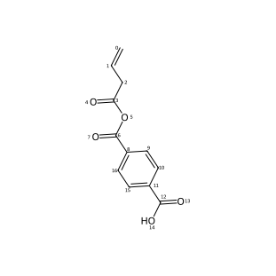 C=CCC(=O)OC(=O)c1ccc(C(=O)O)cc1